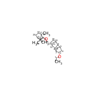 CCOC1CC2CC1C1C2C2CC1[C@H](COC1C3(C)CCC(C3)C1(C)C)C2